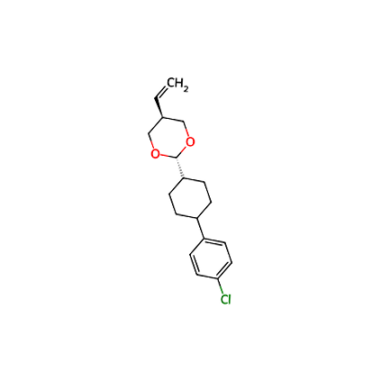 C=C[C@H]1CO[C@H](C2CCC(c3ccc(Cl)cc3)CC2)OC1